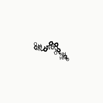 COc1nc(-c2cccc(-c3cccc(-c4cn5cc(CNC[C@@H]6CCC(=O)N6)ccc5n4)c3Cl)c2Cl)ccc1CNC[C@@H]1CCC(=O)N1